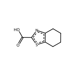 O=C(O)c1nc2c(s1)CCCC2